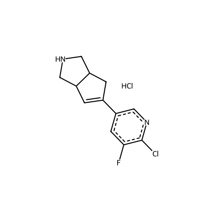 Cl.Fc1cc(C2=CC3CNCC3C2)cnc1Cl